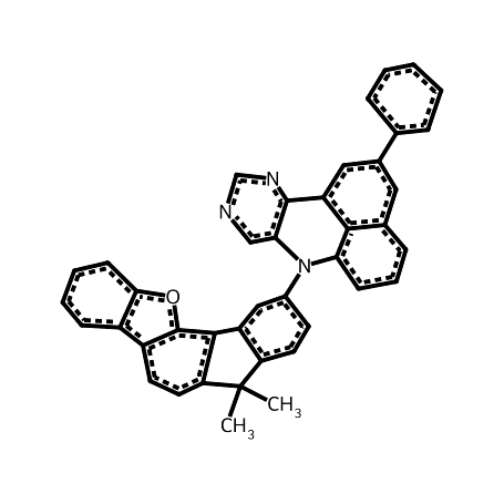 CC1(C)c2ccc(N3c4cncnc4-c4cc(-c5ccccc5)cc5cccc3c45)cc2-c2c1ccc1c2oc2ccccc21